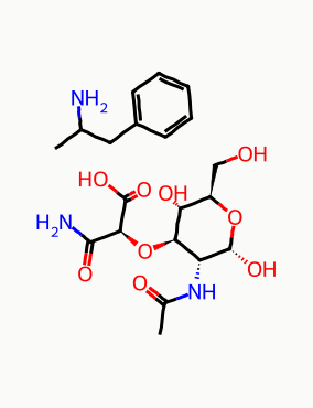 CC(=O)N[C@@H]1[C@@H](O[C@@H](C(N)=O)C(=O)O)[C@H](O)[C@@H](CO)O[C@@H]1O.CC(N)Cc1ccccc1